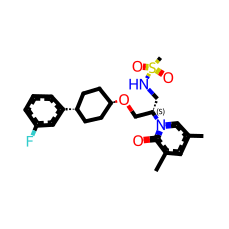 Cc1cc(C)c(=O)n([C@@H](CNS(C)(=O)=O)CO[C@H]2CC[C@@H](c3cccc(F)c3)CC2)c1